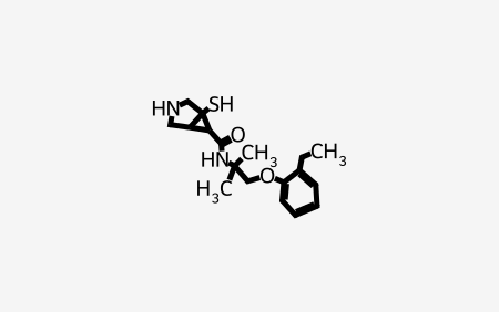 CCc1ccccc1OCC(C)(C)NC(=O)C1C2CNCC21S